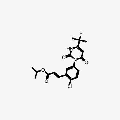 CC(C)OC(=O)C=Cc1cc(-n2c(=O)cc(C(F)(F)F)[nH]c2=O)ccc1Cl